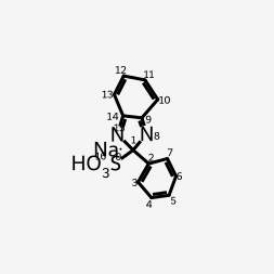 O=S(=O)(O)C1(c2ccccc2)N=c2ccccc2=N1.[Na]